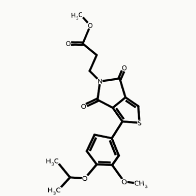 COC(=O)CCN1C(=O)c2csc(-c3ccc(OC(C)C)c(OC)c3)c2C1=O